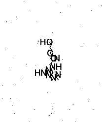 C=NC(C)N(C)c1nc(NC)nc(NCc2cncc(OCCCO)c2)c1C